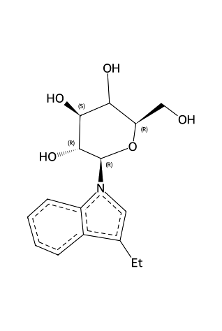 CCc1cn([C@@H]2O[C@H](CO)C(O)[C@H](O)[C@H]2O)c2ccccc12